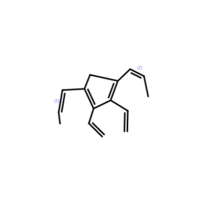 C=CC1=C(/C=C\C)CC(/C=C\C)=C1C=C